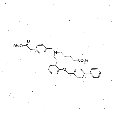 COC(=O)Cc1ccc(CN(CCCCC(=O)O)CCc2ccccc2OCc2ccc(-c3ccccc3)cc2)cc1